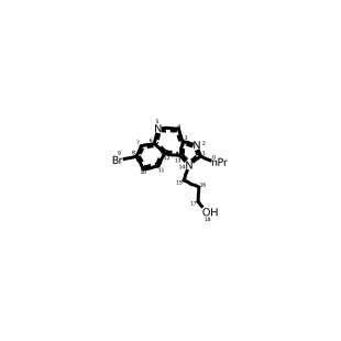 CCCc1nc2cnc3cc(Br)ccc3c2n1CCCO